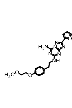 COCCOc1ccc(CCNc2nc(N)n3nc(-c4ccco4)nc3n2)cc1